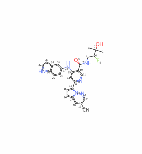 CC(C)(O)C(F)CNC(=O)c1cnc(-c2ccc3cc(C#N)cnn23)cc1Nc1ccc2[nH]ccc2c1